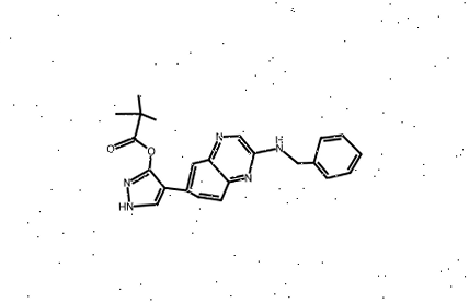 CC(C)(C)C(=O)Oc1n[nH]cc1-c1ccc2nc(NCc3ccccc3)cnc2c1